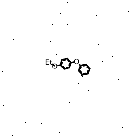 CCOc1ccc(Oc2c[c]ccc2)cc1